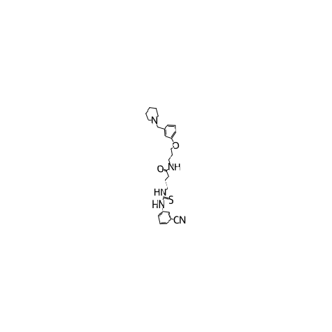 N#Cc1cccc(NC(=S)NCCCC(=O)NCCCOc2cccc(CN3CCCCC3)c2)c1